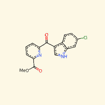 COC(=O)c1cccc(C(=O)c2c[nH]c3cc(Cl)ccc23)n1